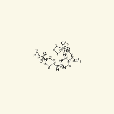 Cc1cc(=O)n([C@@H]2CCC[C@@]2(C)O)c2nc(NC3CCN(S(=O)(=O)C4CC4)CC3)ncc12